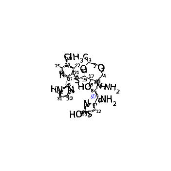 CC1COC[C@@H](N(N)/C=C(\N)c2csc(O)n2)C(O)C(Sc2cc(Cl)cnc2-c2ncc[nH]2)O1